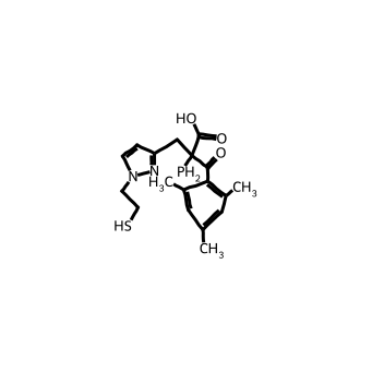 Cc1cc(C)c(C(=O)C(P)(Cc2ccn(CCS)n2)C(=O)O)c(C)c1